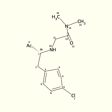 CC(=O)[C@@H](Cc1ccc(Cl)cc1)NCC(=O)N(C)C